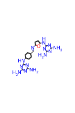 Nc1nc(N)nc(Nc2ccc(/C=N/c3ccc(Nc4nc(N)nc(N)n4)o3)cc2)n1